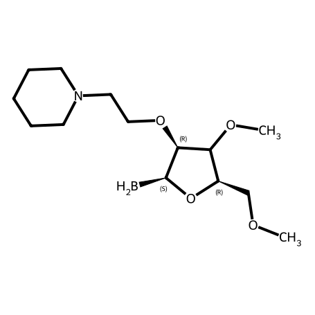 B[C@@H]1O[C@H](COC)C(OC)[C@@H]1OCCN1CCCCC1